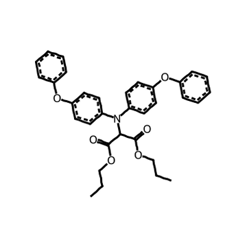 CCCOC(=O)C(C(=O)OCCC)N(c1ccc(Oc2ccccc2)cc1)c1ccc(Oc2ccccc2)cc1